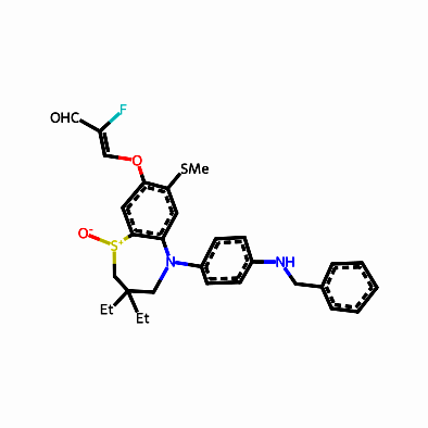 CCC1(CC)CN(c2ccc(NCc3ccccc3)cc2)c2cc(SC)c(O/C=C(\F)C=O)cc2[S+]([O-])C1